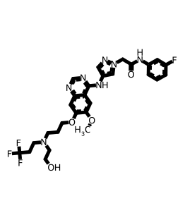 COc1cc2c(Nc3cnn(CC(=O)Nc4cccc(F)c4)c3)ncnc2cc1OCCCN(CCO)CCC(F)(F)F